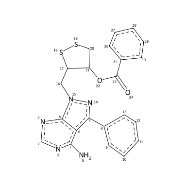 Nc1ncnc2c1c(-c1ccccc1)nn2CC1SSCC1OC(=O)c1ccccc1